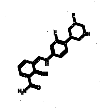 N=C1C(C(N)=O)=CC=C/C1=C/Nc1ccc(C2CNCC(F)C2)c(F)c1